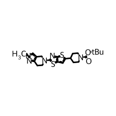 Cn1cc2c(n1)CCN(c1nc3sc(C4CCN(C(=O)OC(C)(C)C)CC4)cc3s1)C2